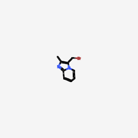 Cc1nc2ccccn2c1CBr